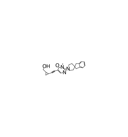 Cn1c(N2CCC3(CC2)Cc2ccccc2C3)ncc(C#CC2CC2CO)c1=O